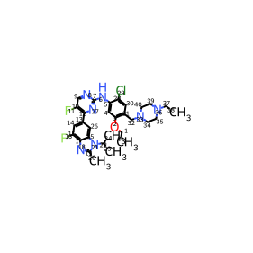 CCOc1cc(Nc2ncc(F)c(-c3cc(F)c4nc(C)n(C(C)C)c4c3)n2)c(Cl)cc1CN1CCN(CC)CC1